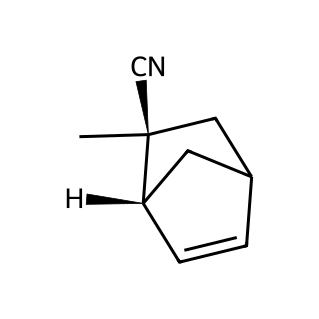 C[C@]1(C#N)CC2C=C[C@H]1C2